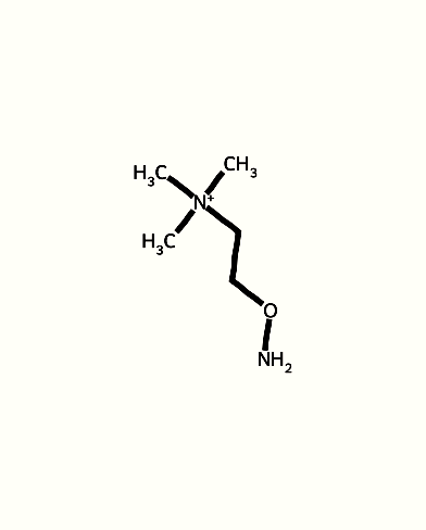 C[N+](C)(C)CCON